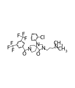 CN(C)CCCN1CN(c2ccccc2Cl)C2(CCN(C(=O)c3cc(C(F)(F)F)cc(C(F)(F)F)c3)CC2)C1=O